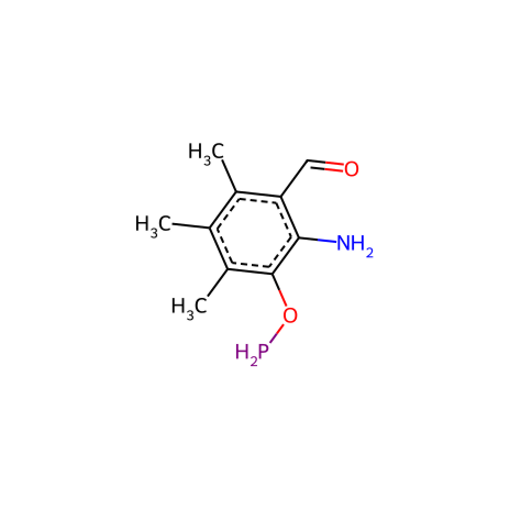 Cc1c(C)c(C=O)c(N)c(OP)c1C